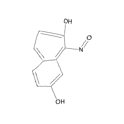 O=Nc1c(O)ccc2ccc(O)cc12